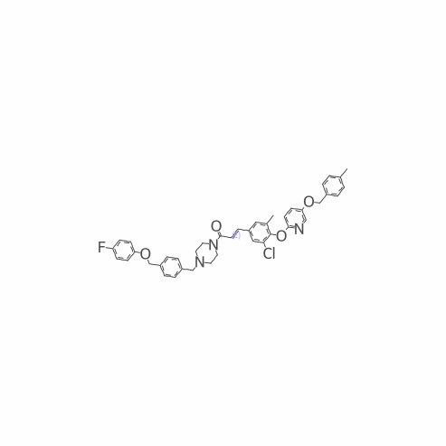 Cc1ccc(COc2ccc(Oc3c(C)cc(/C=C/C(=O)N4CCN(Cc5ccc(COc6ccc(F)cc6)cc5)CC4)cc3Cl)nc2)cc1